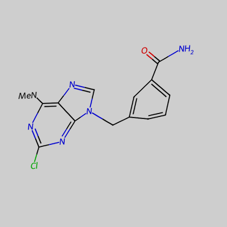 CNc1nc(Cl)nc2c1ncn2Cc1cccc(C(N)=O)c1